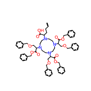 C=CCCC(C(=O)O)N1CCN(C(COCc2ccccc2)C(=O)OCc2ccccc2)CCN(C(COCc2ccccc2)C(=O)OCc2ccccc2)CCN(C(COCc2ccccc2)C(=O)OCc2ccccc2)CC1